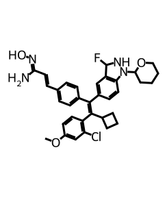 COc1ccc(/C(=C(\c2ccc(/C=C/C(N)=N/O)cc2)c2ccc3c(c2)C(F)NN3C2CCCCO2)C2CCC2)c(Cl)c1